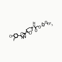 O=C(CO[C@H]1C[C@@H](OC(F)(F)F)C1)N[C@@H]1CC[C@@H](c2nnc(-c3ccc(Cl)c(F)c3)o2)OC1